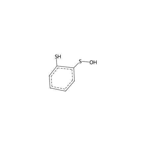 OSc1ccccc1S